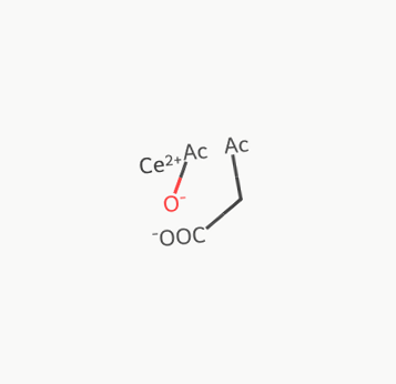 CC(=O)CC(=O)[O-].CC(=O)[O-].[Ce+2]